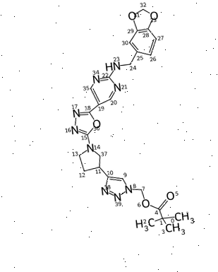 CC(C)(C)C(=O)OCn1cc(C2CCN(c3nnc(-c4cnc(NCc5ccc6c(c5)OCO6)nc4)o3)C2)nn1